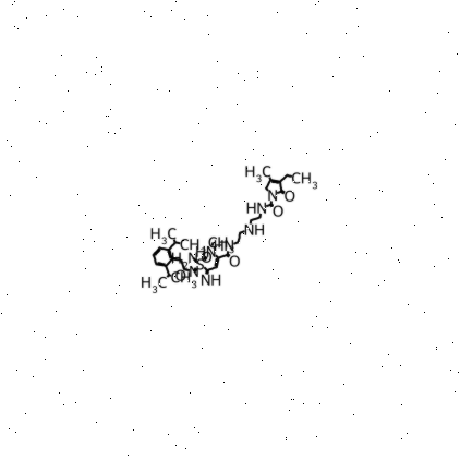 CCC1=C(C)CN(C(=O)NCCNCCNC(=O)/C(=C/C(=N)S(N)(=O)=NC(=O)Cc2c(C(C)C)cccc2C(C)C)NC)C1=O